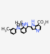 Cc1cccc(N(C)c2cccc3c(-c4cc5nccc(C(=O)O)c5[nH]4)nn(C)c23)c1